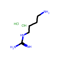 Cl.Cl.N=C(N)NCCCCN